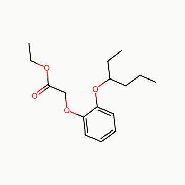 CCCC(CC)Oc1ccccc1OCC(=O)OCC